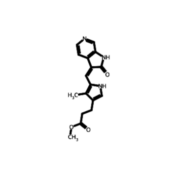 COC(=O)CCc1c[nH]c(C=C2C(=O)Nc3cnccc32)c1C